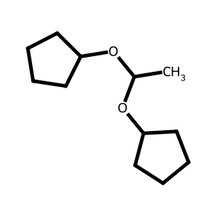 CC(OC1CCCC1)OC1CCCC1